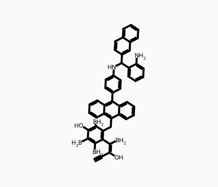 B/C(=C(\O)C#C)c1c(B)c(B)c(O)c(B)c1Cc1c2ccccc2c(-c2ccc(NC(c3ccc4ccccc4c3)c3ccccc3N)cc2)c2ccccc12